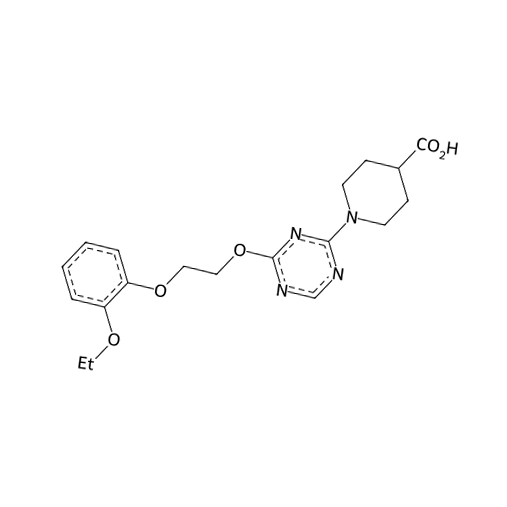 CCOc1ccccc1OCCOc1ncnc(N2CCC(C(=O)O)CC2)n1